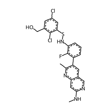 CNc1cc2nc(C)c(-c3cccc(NSc4cc(Cl)cc(CO)c4Cl)c3F)cc2cn1